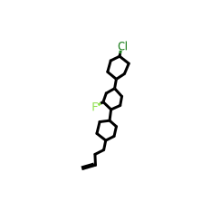 C=CCCC1CCC(C2CCC(C3CCC(Cl)CC3)CC2F)CC1